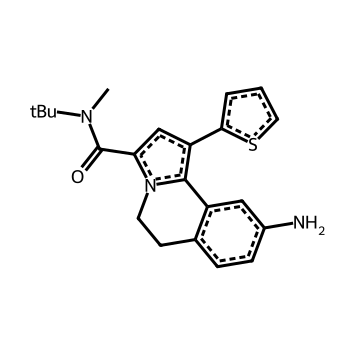 CN(C(=O)c1cc(-c2cccs2)c2n1CCc1ccc(N)cc1-2)C(C)(C)C